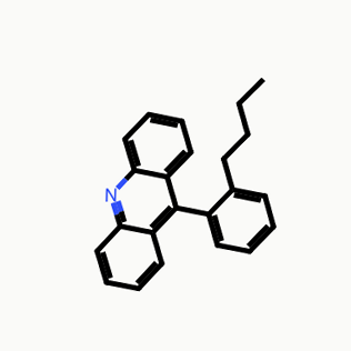 CCCCc1ccccc1-c1c2ccccc2nc2ccccc12